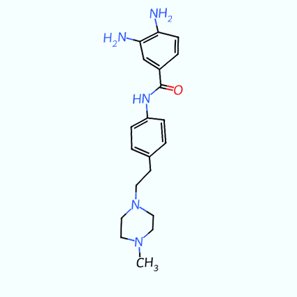 CN1CCN(CCc2ccc(NC(=O)c3ccc(N)c(N)c3)cc2)CC1